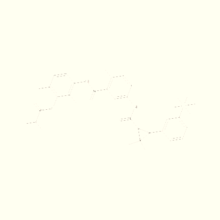 O=C(Nc1ccc(F)c(NC(=O)C(F)F)c1F)c1cc(NC(=O)C2C(c3cccc(S(F)(F)(F)(F)F)c3)C2(Cl)Cl)ccc1Cl